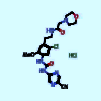 COc1cc(CCNC(=O)CN2CCOCC2)c(Cl)cc1NC(=O)Nc1cnc(C#N)cn1.Cl